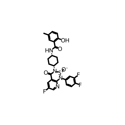 Cc1ccc(O)c(C(=O)N[C@H]2CC[C@@H](N3C(=O)c4cc(F)cnc4N(c4ccc(F)c(F)c4)[S+]3[O-])CC2)c1